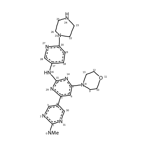 CNc1ncc(-c2cc(N3CCOCC3)nc(Nc3ccc(N4CCNCC4)nc3)n2)cn1